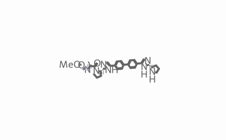 COO/C=N\[C@@H](C)C(=O)N1CCC[C@H]1c1ncc(-c2ccc(-c3ccc(-c4cnc([C@@H]5CCCN5)[nH]4)cc3)cc2)[nH]1